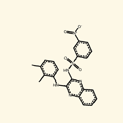 Cc1cccc(Nc2nc3ccccc3nc2NS(=O)(=O)c2cccc([N+](=O)[O-])c2)c1C